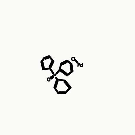 O=P(c1ccccc1)(c1ccccc1)c1ccccc1.[Cl][Pd]